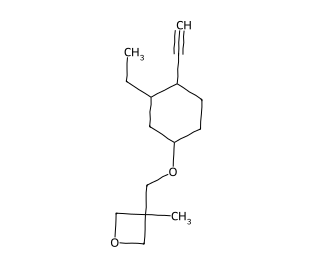 C#CC1CCC(OCC2(C)COC2)CC1CC